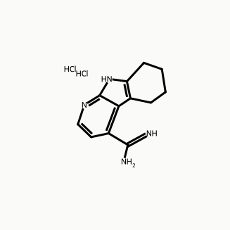 Cl.Cl.N=C(N)c1ccnc2[nH]c3c(c12)CCCC3